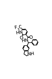 O=C(NC(c1ccccc1)c1ccc2c(c1)NCC2)c1ccc(C(F)(F)F)[nH]c1=O